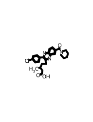 CC(CCc1nc2cc(C(=O)N3CCCCC3)ccc2nc1-c1ccc(Cl)cc1)CC(=O)O